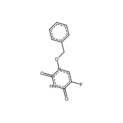 O=c1[nH]c(=O)n(OCc2ccccc2)cc1F